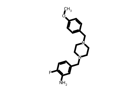 COc1ccc(CN2CCN(Cc3ccc(F)c(N)c3)CC2)cc1